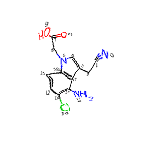 N#CCc1cn(CC(=O)O)c2ccc(Cl)c(N)c12